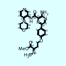 B/N=C(/CCOc1ccc(-c2cnc(N)c(C(=O)Nc3cnccc3N3CCOCC3)n2)cc1)C(=O)OC